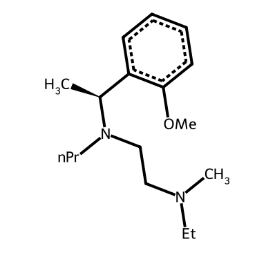 CCCN(CCN(C)CC)[C@@H](C)c1ccccc1OC